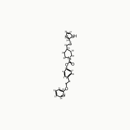 O=C(Oc1ccc(CCOc2ccccn2)cc1)N1CCC(CSc2ncc[nH]2)CC1